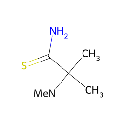 CNC(C)(C)C(N)=S